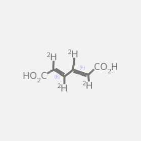 [2H]/C(C(=O)O)=C([2H])\C([2H])=C(/[2H])C(=O)O